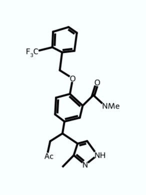 CNC(=O)c1cc(C(CC(C)=O)c2c[nH]nc2C)ccc1OCc1ccccc1C(F)(F)F